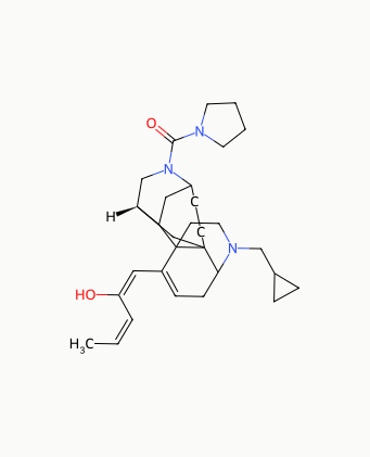 C/C=C\C(O)=C/C1=CCC2N(CC3CC3)CCC13C1CC4CCC23C[C@@H]1CN4C(=O)N1CCCC1